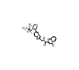 CC(C)(C)CN1CCOCC1c1ccc2nc(CNC(=O)c3cc(=O)n4ccccc4n3)cn2c1